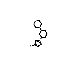 Brc1cnn([C@H]2CCCC(N3CCOCC3)C2)c1